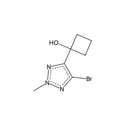 Cn1nc(Br)c(C2(O)CCC2)n1